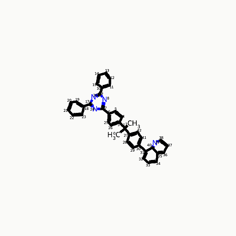 CC(C)(c1ccc(-c2nc(-c3ccccc3)nc(-c3ccccc3)n2)cc1)c1ccc(-c2cccc3cccnc23)cc1